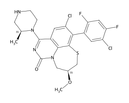 CO[C@@H]1CSc2c(-c3cc(Cl)c(F)cc3F)c(Cl)cc3c(N4CCNC[C@@H]4C)nc(=O)n(c23)C1